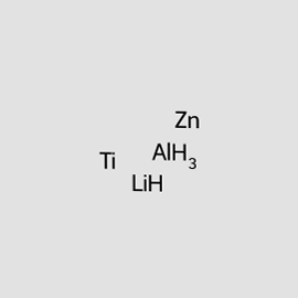 [AlH3].[LiH].[Ti].[Zn]